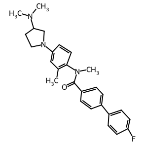 Cc1cc(N2CCC(N(C)C)C2)ccc1N(C)C(=O)c1ccc(-c2ccc(F)cc2)cc1